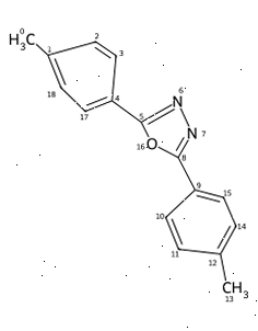 Cc1ccc(-c2nnc(-c3ccc(C)cc3)o2)cc1